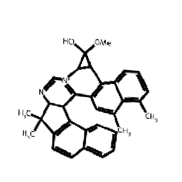 COC1(O)C2c3c(cc(C)c4c(C)cccc34)C3=[N+](C=NC4C3c3c(ccc5ccccc35)C4(C)C)C21